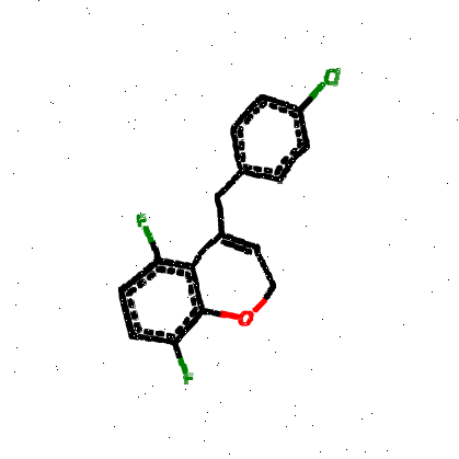 Fc1ccc(F)c2c1OCC=C2Cc1ccc(Cl)cc1